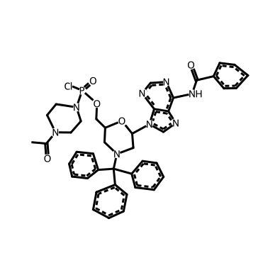 CC(=O)N1CCN(P(=O)(Cl)OCC2CN(C(c3ccccc3)(c3ccccc3)c3ccccc3)CC(n3cnc4c(NC(=O)c5ccccc5)ncnc43)O2)CC1